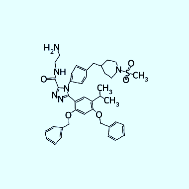 CC(C)c1cc(-c2nnc(C(=O)NCCN)n2-c2ccc(CC3CCN(S(C)(=O)=O)CC3)cc2)c(OCc2ccccc2)cc1OCc1ccccc1